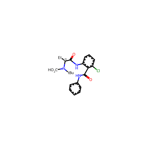 CC[C@@H](C(=O)Nc1cccc(Cl)c1C(=O)Nc1ccccc1)N(C(=O)O)C(C)(C)C